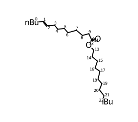 CCCCC=CCCCCCCCC(=O)OCCCCCCCCCC(C)CC